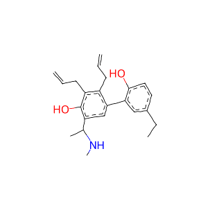 C=CCc1c(-c2cc(CC)ccc2O)cc(C(C)NC)c(O)c1CC=C